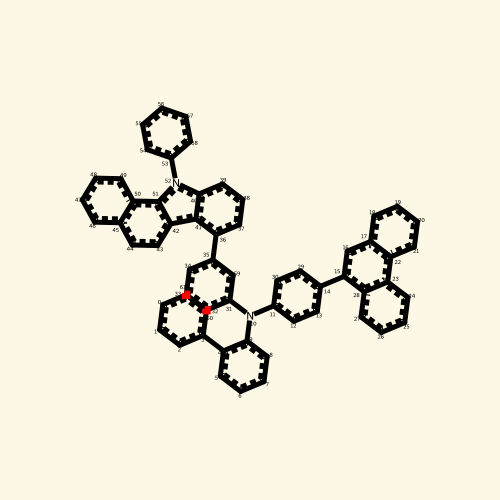 c1ccc(-c2ccccc2N(c2ccc(-c3cc4ccccc4c4ccccc34)cc2)c2cccc(-c3cccc4c3c3ccc5ccccc5c3n4-c3ccccc3)c2)cc1